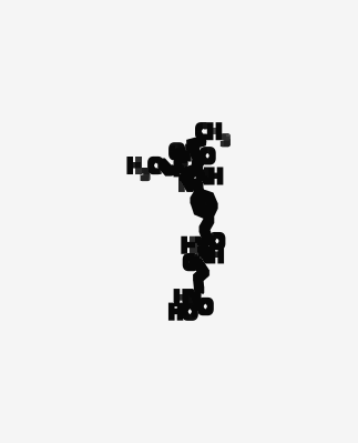 CCCn1c(=O)c2[nH]c(C34CCC(CCC(=O)NNC(=O)CCCNC(=O)O)(CC3)CC4)nc2n(CCC)c1=O